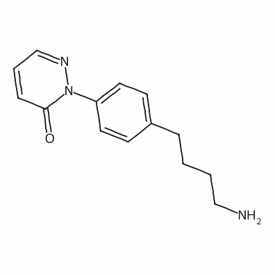 NCCCCc1ccc(-n2ncccc2=O)cc1